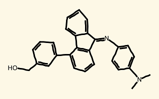 CN(C)c1ccc(N=C2c3ccccc3-c3c2cccc3-c2cccc(CO)c2)cc1